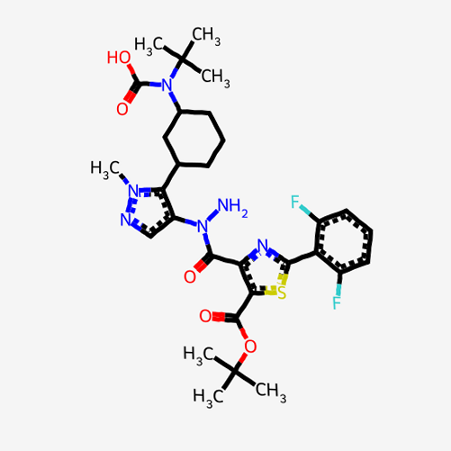 Cn1ncc(N(N)C(=O)c2nc(-c3c(F)cccc3F)sc2C(=O)OC(C)(C)C)c1C1CCCC(N(C(=O)O)C(C)(C)C)C1